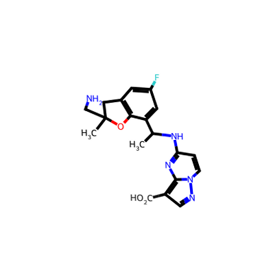 CC(Nc1ccn2ncc(C(=O)O)c2n1)c1cc(F)cc2c1OC(C)(CN)C2